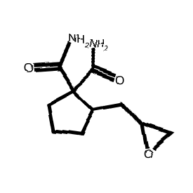 NC(=O)C1(C(N)=O)CCCC1CC1CO1